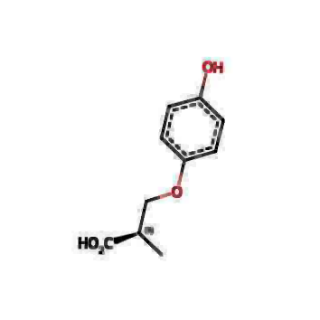 C[C@H](COc1ccc(O)cc1)C(=O)O